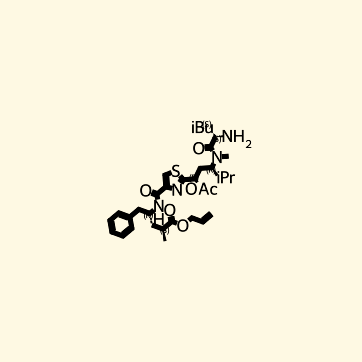 C=CCOC(=O)[C@@H](C)C[C@H](Cc1ccccc1)NC(=O)c1csc([C@@H](C[C@H](C(C)C)N(C)C(=O)[C@@H](N)[C@@H](C)CC)OC(C)=O)n1